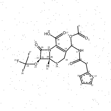 CC(=O)OC(NC(=O)Cc1cccs1)C1=C(C(=O)O)N2C(=O)[C@H](OC(F)(F)F)[C@H]2SC1